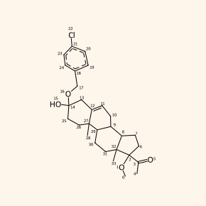 COC1(C(C)=O)CCC2C3CC=C4CC(O)(OCc5ccc(Cl)cc5)CCC4(C)C3CCC21C